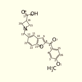 COc1ccc(C(=O)c2cc3cc(CN4CC(C(=O)O)C4)ccc3o2)cc1